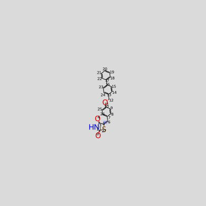 O=C1NC(=O)/C(=C\c2ccc(OCc3ccc(-c4ccccc4)cc3)cc2)S1